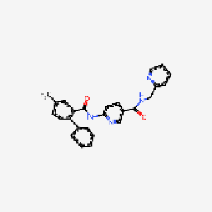 O=C(NCc1ccccn1)c1ccc(NC(=O)c2cc(C(F)(F)F)ccc2-c2ccccc2)nc1